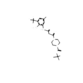 Cc1cc(NC(=O)CC(=O)N2CCN(C(=O)OC(C)(C)C)CC2)c(N)c(C(F)(F)F)c1